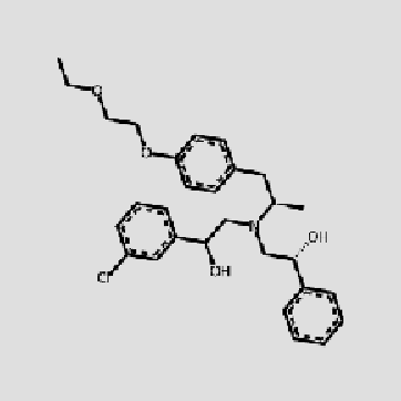 CCOCCOc1ccc(C[C@@H](C)N(C[C@@H](O)c2cccc(Cl)c2)C[C@H](O)c2ccccc2)cc1